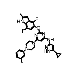 Cc1cccc(N2CCN(c3cc(Nc4cc(C5CC5)[nH]n4)nc(Oc4cc(F)c5[nH]c(C)cc5c4F)n3)CC2)c1